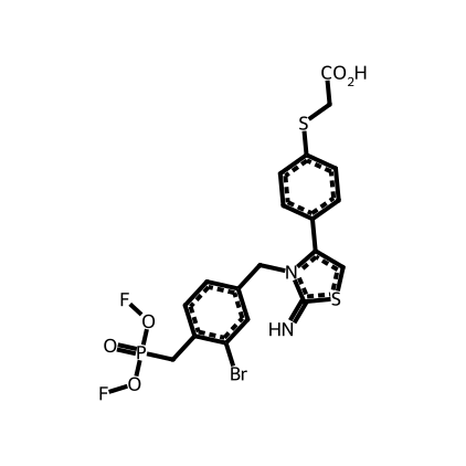 N=c1scc(-c2ccc(SCC(=O)O)cc2)n1Cc1ccc(CP(=O)(OF)OF)c(Br)c1